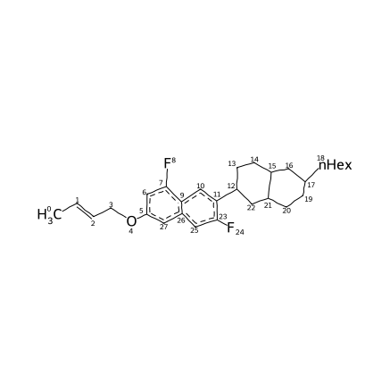 C/C=C/COc1cc(F)c2cc(C3CCC4CC(CCCCCC)CCC4C3)c(F)cc2c1